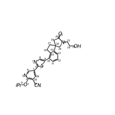 CC(C)Oc1ncc(-c2ncc(-c3cccc4c3CCC43CC(=O)N(CCO)C3)s2)cc1C#N